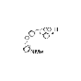 CNc1cccc(CCOc2ccc(CC(CC(=O)O)Cc3ccccc3)cc2)n1